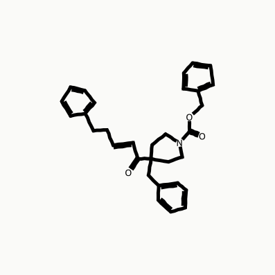 O=C(OCc1ccccc1)N1CCC(Cc2ccccc2)(C(=O)/C=C/CCc2ccccc2)CC1